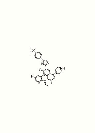 CCOc1ncc(F)cc1-n1c(C=C(C)C)c(C(=O)N2CCNCC2)cc(-c2nc(-c3ccc(C(F)(F)F)nc3)cs2)c1=O